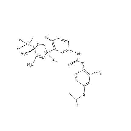 Cc1cc(OC(F)F)cnc1OC(=O)Nc1ccc(F)c([C@]2(C)CO[C@@](C)(C(F)(F)F)C(N)=N2)c1